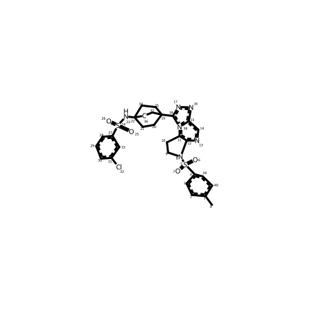 Cc1ccc(S(=O)(=O)N2CCc3c2ncc2nnc(C45CCC(NS(=O)(=O)c6cccc(Cl)c6)(CC4)CC5)n32)cc1